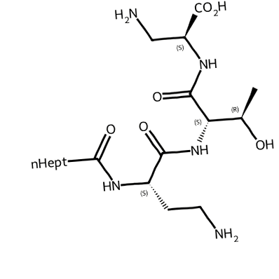 CCCCCCCC(=O)N[C@@H](CCN)C(=O)N[C@H](C(=O)N[C@@H](CN)C(=O)O)[C@@H](C)O